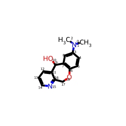 CN(C)c1ccc2c(c1)C(O)c1cccnc1CO2